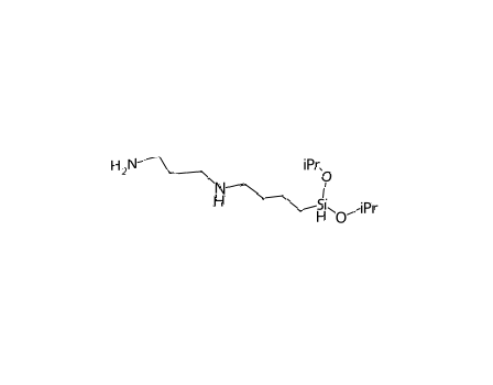 CC(C)O[SiH](CCCCNCCCN)OC(C)C